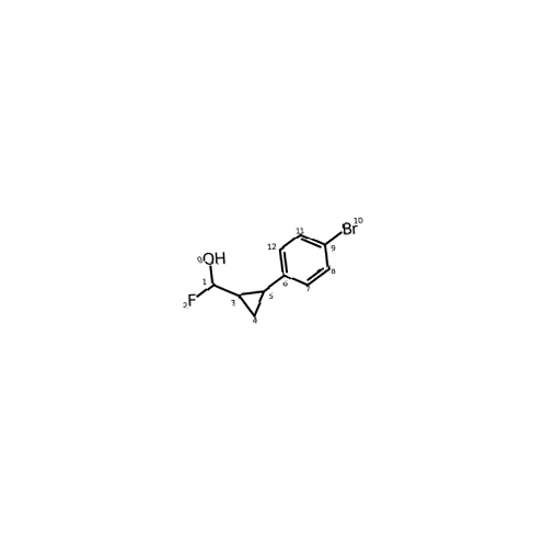 OC(F)C1CC1c1ccc(Br)cc1